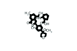 COC1(c2ccc(-c3cc4c(C(C)Nc5ccccc5C(=O)O)cc(C)cc4c(=O)n3C)cc2)CCOCC1